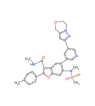 CNC(=O)c1c(-c2ccc(C)cc2)oc2cc(N(C)S(C)(=O)=O)c(-c3cncc(-c4cc5n(n4)CCOC5)c3)cc12